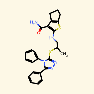 CC(CNc1sc2c(c1C(N)=O)CCC2)Sc1nnc(-c2ccccc2)n1-c1ccccc1